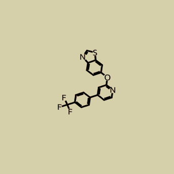 FC(F)(F)c1ccc(-c2ccnc(Oc3ccc4ncsc4c3)c2)cc1